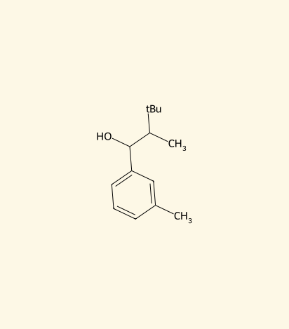 Cc1cccc(C(O)C(C)C(C)(C)C)c1